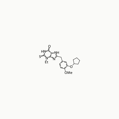 CCn1c(=S)[nH]c(=O)c2[nH]c(Cc3ccc(OC)c(OC4CCCC4)c3)nc21